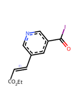 CCOC(=O)/C=C/c1cncc(C(=O)I)c1